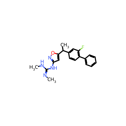 C/N=C(/NC)Nc1cc(C(C)c2ccc(-c3ccccc3)c(F)c2)on1